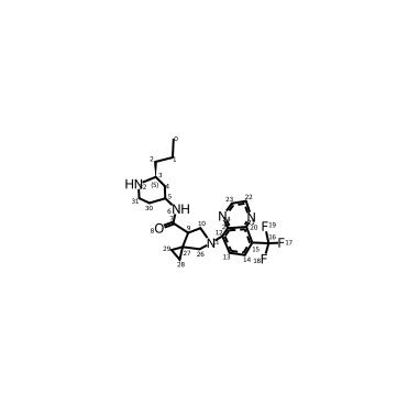 CCC[C@H]1CC(NC(=O)C2CN(c3ccc(C(F)(F)F)c4nccnc34)CC23CC3)CCN1